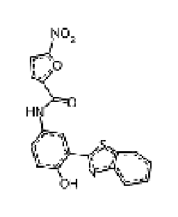 O=C(Nc1ccc(O)c(-c2nc3ccccc3s2)c1)c1ccc([N+](=O)[O-])o1